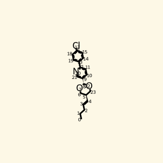 CCCC=C[C@H]1CO[C@H](c2ccc(-c3ccc(Cl)cc3)nc2)OC1